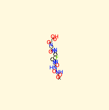 CC(C)(C)OC(=O)CNC(=O)CNC(=O)Cn1ncc2c(-c3cc4c(cnn4C(=O)C4CCN(C(=O)CCC(=O)O)CC4)cc3F)cccc21